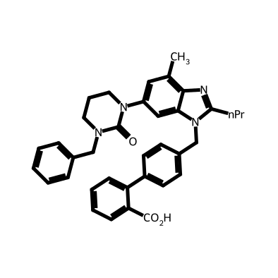 CCCc1nc2c(C)cc(N3CCCN(Cc4ccccc4)C3=O)cc2n1Cc1ccc(-c2ccccc2C(=O)O)cc1